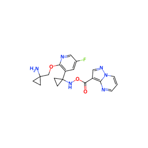 NC1(COc2ncc(F)cc2C2(NOC(=O)c3cnn4cccnc34)CC2)CC1